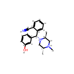 C[C@@H]1CN([C@H](c2cccc(O)c2)c2ccccc2C#N)[C@@H](C)CN1C